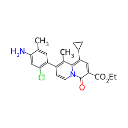 CCOC(=O)c1cc(C2CC2)c2c(C)c(-c3cc(C)c(N)cc3Cl)ccn2c1=O